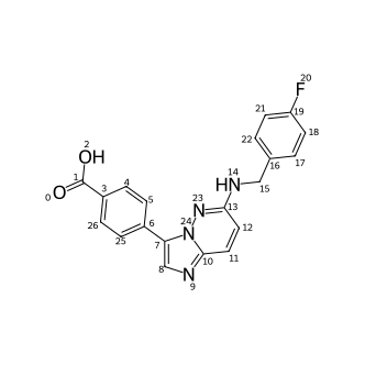 O=C(O)c1ccc(-c2cnc3ccc(NCc4ccc(F)cc4)nn23)cc1